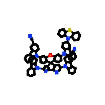 N#Cc1ccc2c(c1)c1ccccc1n2-c1ccc2c(c1)Oc1cc(-n3c4ccccc4c4cc(N5c6ccccc6Sc6ccccc65)ccc43)ccc1C21c2cc(-n3c4ccccc4c4ccccc43)cnc2-c2ncc(-n3c4ccccc4c4cc(C#N)ccc43)cc21